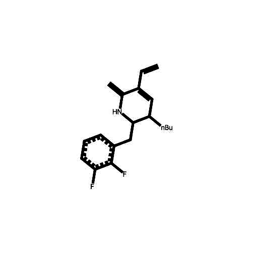 C=CC1=CC(CCCC)C(Cc2cccc(F)c2F)NC1=C